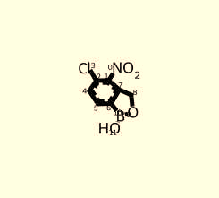 O=[N+]([O-])c1c(Cl)ccc2c1COB2O